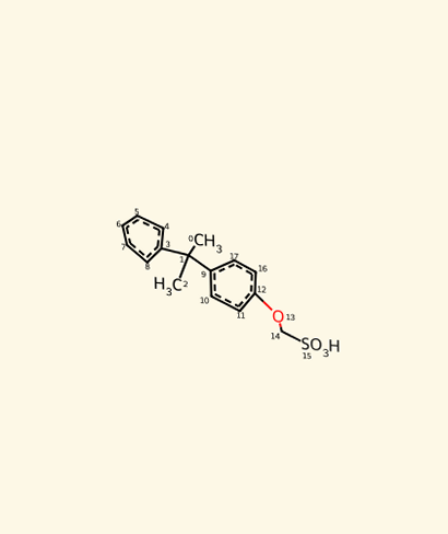 CC(C)(c1ccccc1)c1ccc(OCS(=O)(=O)O)cc1